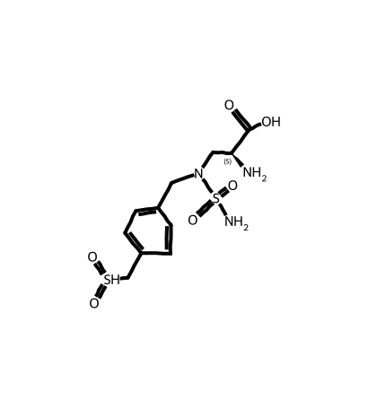 N[C@@H](CN(Cc1ccc(C[SH](=O)=O)cc1)S(N)(=O)=O)C(=O)O